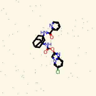 O=C(NC12CC3CC(C1)CC(NC(=O)c1ccccn1)(C3)C2)Oc1cn2cc(Cl)ccc2n1